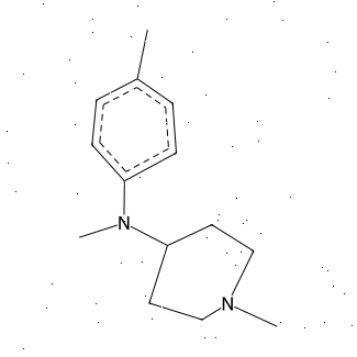 Cc1ccc(N(C)C2CCN(C)CC2)cc1